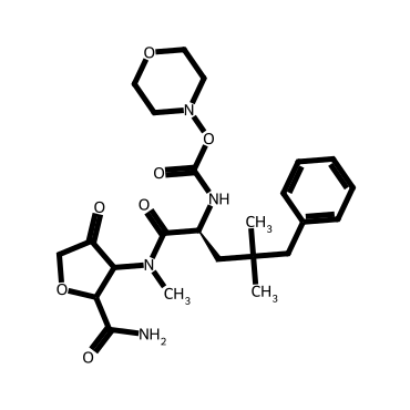 CN(C(=O)[C@H](CC(C)(C)Cc1ccccc1)NC(=O)ON1CCOCC1)C1C(=O)COC1C(N)=O